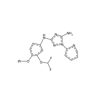 CC(C)Oc1ccc(Nc2nc(N)n(-c3ccccn3)n2)cc1OC(F)F